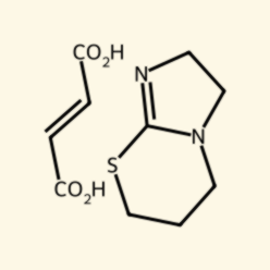 C1CSC2=NCCN2C1.O=C(O)C=CC(=O)O